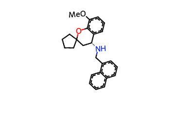 COc1cccc2c1OC1(CCCC1)C[C@H]2NCc1cccc2ccccc12